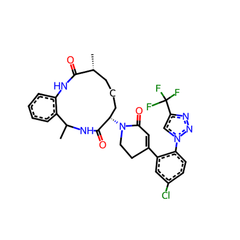 CC1NC(=O)[C@@H](N2CCC(c3cc(Cl)ccc3-n3cc(C(F)(F)F)nn3)=CC2=O)CCC[C@@H](C)C(=O)Nc2ccccc21